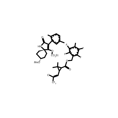 CCOC(=O)OC1=C(c2cc(C)ccc2C)C(=O)N[C@]12CC[C@@H](OC)CC2.Cc1c(F)c(F)c(COC(=O)C2C(/C=C(\Cl)C(F)(F)F)C2(C)C)c(F)c1F